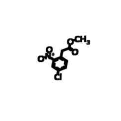 COC(=O)Cc1ccc(Cl)cc1[N+](=O)[O-]